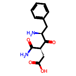 NC(=O)[C@@H](CC(=O)O)C(=O)[C@@H](N)Cc1ccccc1